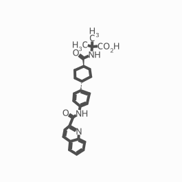 CC(C)(NC(=O)[C@H]1CC[C@H](c2ccc(NC(=O)c3ccc4ccccc4n3)cc2)CC1)C(=O)O